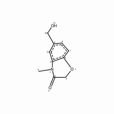 CN1C(=O)COc2ccc(CO)cc21